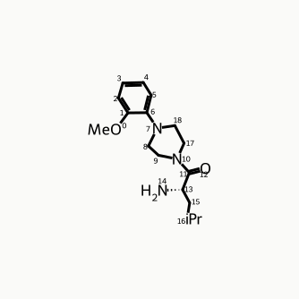 COc1ccccc1N1CCN(C(=O)[C@@H](N)CC(C)C)CC1